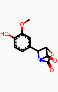 COc1cc(C2C3SC(=O)N2C3=O)ccc1O